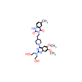 COc1cc2nc(N(CCO)CCO)nc(N3CCC(CCn4c(=O)[nH]c5ccc(C)cc5c4=O)CC3)c2cc1OC